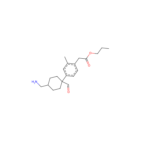 CCCOC(=O)Cc1ccc(C2(C=O)CCC(CN)CC2)cc1C